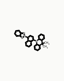 CC1(C)c2ccccc2N(c2ccc(-n3nc4ccccc4n3)c3ccccc23)c2ccccc21